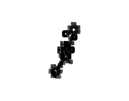 Cc1nc(NC(=O)NCCOc2ccccc2Cl)sc1C#Cc1ccncc1